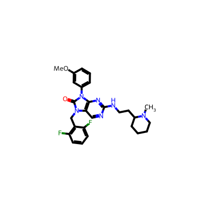 COc1cccc(-n2c(=O)n(Cc3c(F)cccc3F)c3cnc(NCCC4CCCCN4C)nc32)c1